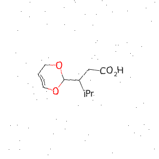 CC(C)C(CC(=O)O)C1OC=CCO1